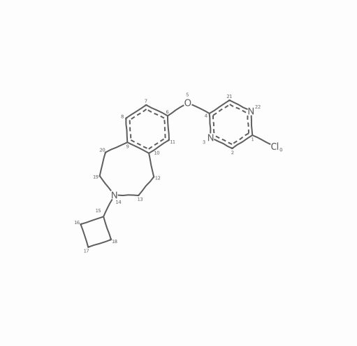 Clc1cnc(Oc2ccc3c(c2)CCN(C2CCC2)CC3)cn1